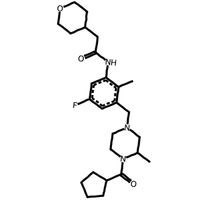 Cc1c(CN2CCN(C(=O)C3CCCC3)C(C)C2)cc(F)cc1NC(=O)CC1CCOCC1